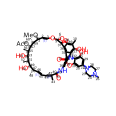 CO[C@H]1/C=C/O[C@@]2(C)Oc3c(C)c(O)c4c(=O)c(c5oc6cc(N7CCN(C)CC7)cc(O)c6nc-5c4c3C2=O)NC(=O)/C(C)=C\C=C\[C@H](C)[C@H](O)[C@@H](C)[C@@H](O)[C@@H](C)[C@H](OC(C)=O)[C@@H]1C